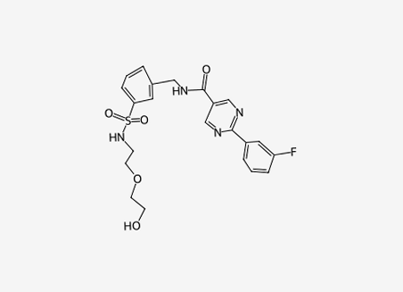 O=C(NCc1cccc(S(=O)(=O)NCCOCCO)c1)c1cnc(-c2cccc(F)c2)nc1